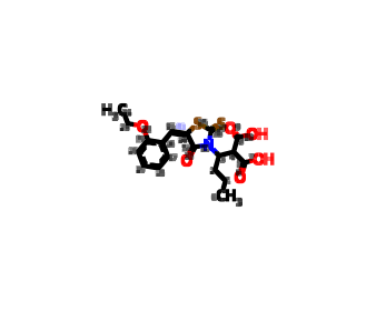 CCCC(C(C(=O)O)C(=O)O)N1C(=O)/C(=C\c2ccccc2OCC)SC1=S